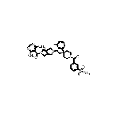 Cc1ncnc(C)c1C(=O)N1C=C2CN(CCC3(c4cccc(F)c4)CCN(C(=O)c4cccc(S(N)(=O)=O)c4)CC3)CC2C1